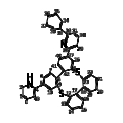 C1=CCNC(c2ccc3c(c2)Sc2ccccc2-c2ccccc2Sc2cc(-c4cccc(-c5ccccc5)n4)ccc2-3)=C1